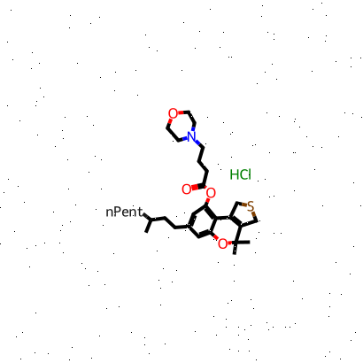 CCCCCC(C)CCc1cc(OC(=O)CCCN2CCOCC2)c2c(c1)OC(C)(C)C1=C2CSC1.Cl